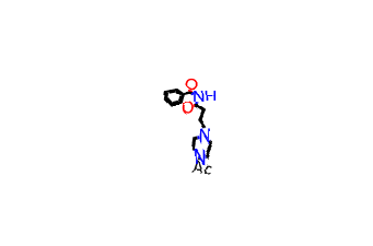 CC(=O)N1CCN(CCCC2NC(=O)c3ccccc3O2)CC1